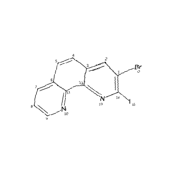 Brc1cc2ccc3cccnc3c2nc1I